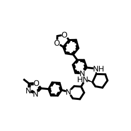 Cc1nnc(-c2ccc(N3CCCC(N[C@@H]4CCCC[C@H]4Nc4cc(-c5ccc6c(c5)OCO6)ccn4)C3)cc2)o1